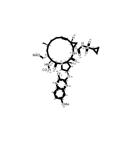 COC[C@@H]1C[C@@H](C)CCC=C[C@@H]2C[C@@]2(C(=O)NS(=O)(=O)C2CC2)NC(=O)[C@@H]2C[C@@H](Oc3nc4cc(OC)ccc4nc3C(F)(F)F)CN2C(=O)[C@H]1NC(=O)O